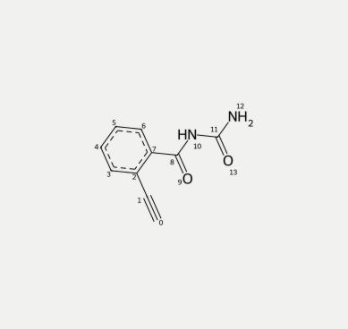 C#Cc1ccccc1C(=O)NC(N)=O